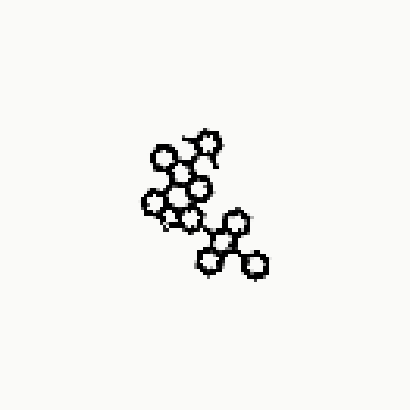 Cc1cccc(C)c1-c1c2ccccc2c(-c2cccc3sc4cc(-c5c6ccccc6c(-c6ccccc6)c6ccccc56)ccc4c23)c2ccccc12